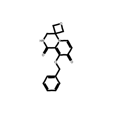 O=C1NCC2(COC2)n2ccc(=O)c(OCc3ccccc3)c21